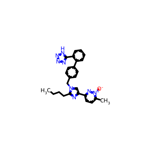 CCCCc1nc(-c2ccc(C)[n+]([O-])n2)cn1Cc1ccc(-c2ccccc2-c2nnn[nH]2)cc1